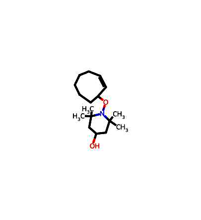 CC1(C)CC(O)CC(C)(C)N1OC1/C=C\CCCCC1